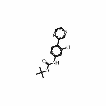 CC(C)(C)OC(=O)Nc1ccc(-c2cnccn2)c(Cl)c1